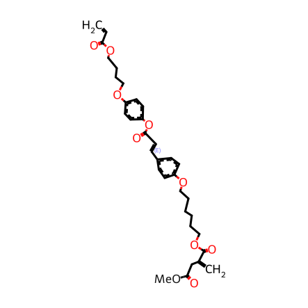 C=CC(=O)OCCCCOc1ccc(OC(=O)/C=C/c2ccc(OCCCCCCOC(=O)C(=C)CC(=O)OC)cc2)cc1